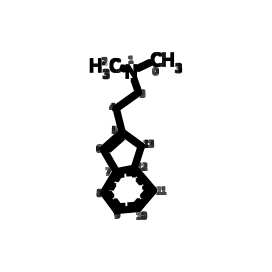 CN(C)CCC1=Cc2ccccc2C1